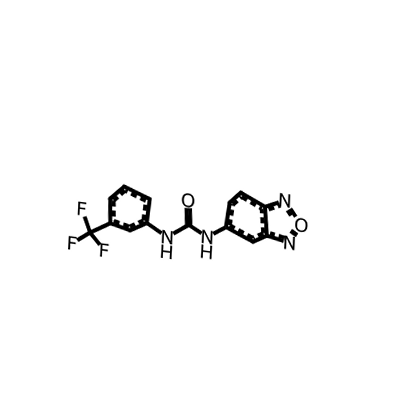 O=C(Nc1cccc(C(F)(F)F)c1)Nc1ccc2nonc2c1